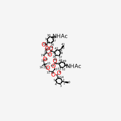 C#Cc1cccc(C(=O)OC(COCC(C)(C)COCC(COC(=O)c2ccc(NC(C)=O)cc2)OC(=O)c2cccc(C#C)c2)COC(=O)c2ccc(NC(C)=O)cc2)c1